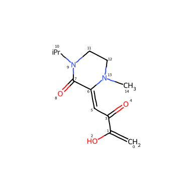 C=C(O)C(=O)/C=C1/C(=O)N(C(C)C)CCN1C